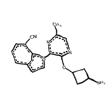 Cc1cnc(OC2CC(N)C2)c(-n2ccc3cccc(C#N)c32)n1